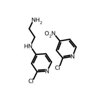 NCCNc1ccnc(Cl)c1.O=[N+]([O-])c1ccnc(Cl)c1